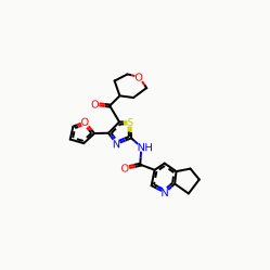 O=C(Nc1nc(-c2ccco2)c(C(=O)C2CCOCC2)s1)c1cnc2c(c1)CCC2